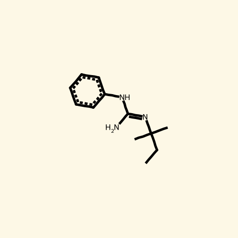 CCC(C)(C)/N=C(\N)Nc1ccccc1